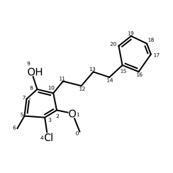 COc1c(Cl)c(C)[c]c(O)c1CCCCc1ccccc1